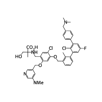 CNc1cncc(COc2cc(OCc3cccc(-c4cc(F)cc(-c5ccc(CN(C)C)cc5)c4Cl)c3C)c(Cl)cc2CNC(C)(CO)C(=O)O)c1